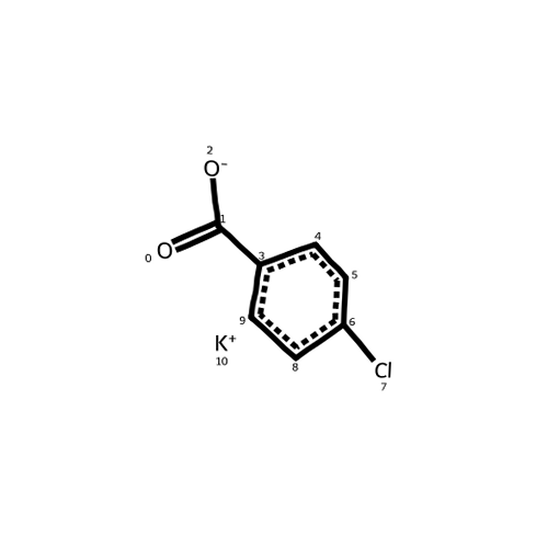 O=C([O-])c1ccc(Cl)cc1.[K+]